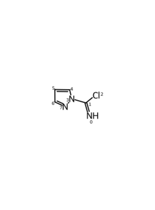 N=C(Cl)n1cccn1